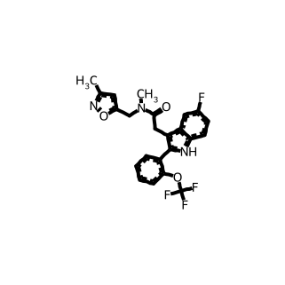 Cc1cc(CN(C)C(=O)Cc2c(-c3ccccc3OC(F)(F)F)[nH]c3ccc(F)cc23)on1